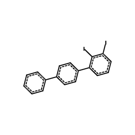 Ic1cccc(-c2ccc(-c3ccccc3)cc2)c1I